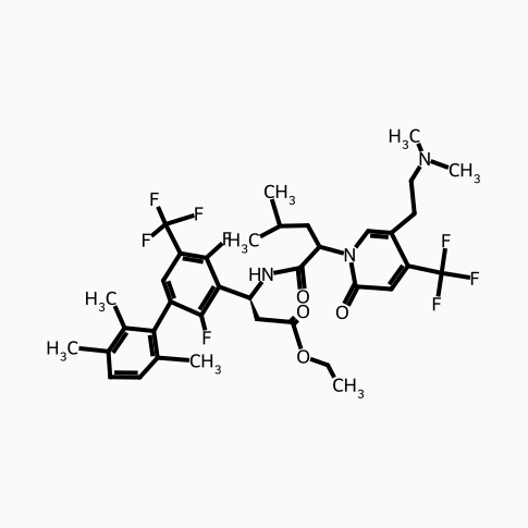 CCOC(=O)C[C@H](NC(=O)C(CC(C)C)n1cc(CCN(C)C)c(C(F)(F)F)cc1=O)c1c(F)c(-c2c(C)ccc(C)c2C)cc(C(F)(F)F)c1F